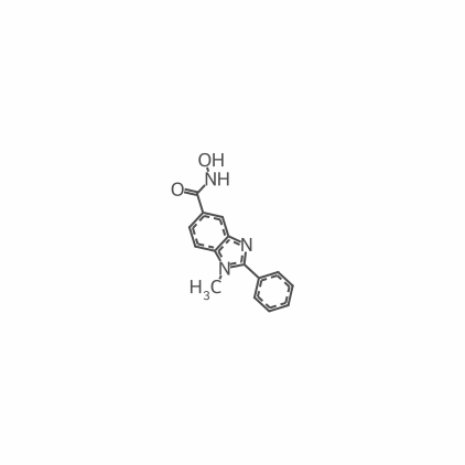 Cn1c(-c2ccccc2)nc2cc(C(=O)NO)ccc21